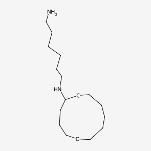 NCCCCCCNC1CCCCCCCCCC1